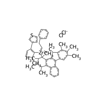 Cc1cc2c(c(C)c1C)C(C)c1c3c(c4ccccc4c1-2)C(C)C(C)C(C)[C]3(C)[Zr+2](=[CH]Cc1ccccc1)[C]1=C(c2ccsc2)C=CC1C.[Cl-].[Cl-]